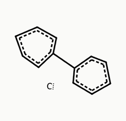 [C].c1ccc(-c2ccccc2)cc1